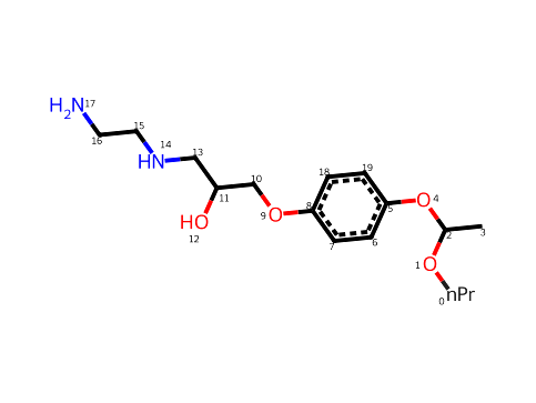 CCCOC(C)Oc1ccc(OCC(O)CNCCN)cc1